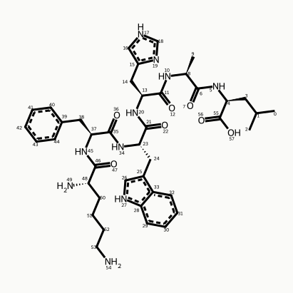 CC(C)C[C@H](NC(=O)[C@H](C)NC(=O)[C@H](Cc1c[nH]cn1)NC(=O)[C@H](Cc1c[nH]c2ccccc12)NC(=O)[C@H](Cc1ccccc1)NC(=O)[C@@H](N)CCCCN)C(=O)O